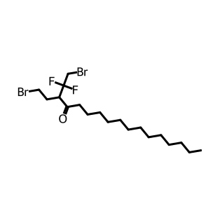 CCCCCCCCCCCCCC(=O)C(CCBr)C(F)(F)CBr